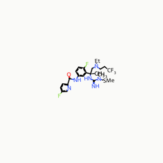 CCN(CCC(F)(F)F)C[C@](C)(NC(=N)N(C)SC)c1cc(NC(=O)c2ccc(F)cn2)ccc1F